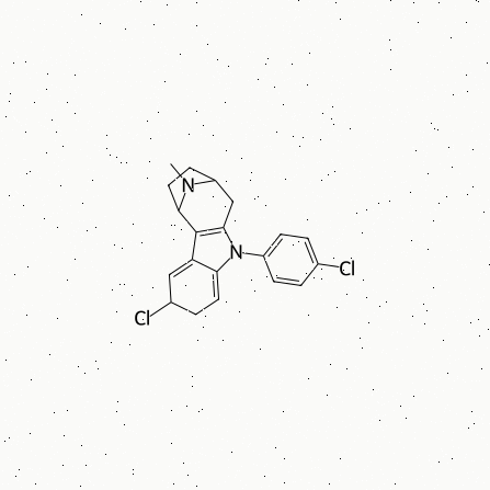 CN1C2CCC1c1c(n(-c3ccc(Cl)cc3)c3c1=CC(Cl)CC=3)C2